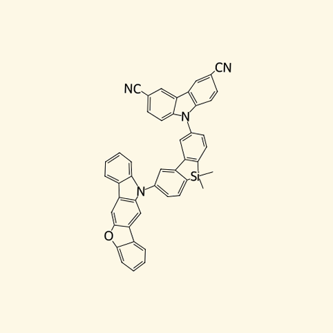 C[Si]1(C)c2ccc(-n3c4ccc(C#N)cc4c4cc(C#N)ccc43)cc2-c2cc(-n3c4ccccc4c4cc5oc6ccccc6c5cc43)ccc21